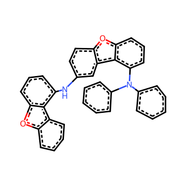 c1ccc(N(c2ccccc2)c2cccc3oc4ccc(Nc5cccc6oc7ccccc7c56)cc4c23)cc1